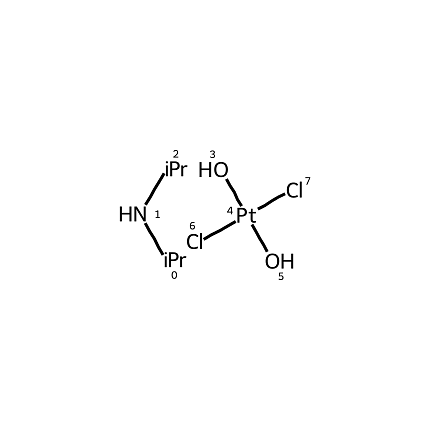 CC(C)NC(C)C.[OH][Pt]([OH])([Cl])[Cl]